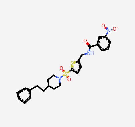 O=C(NCc1ccc(S(=O)(=O)N2CCC(CCc3ccccc3)CC2)s1)c1cccc([N+](=O)[O-])c1